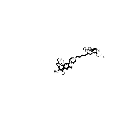 CC(=O)c1c2n(c3cc(N4CCN(CCCCC(O)Cn5c([N+](=O)[O-])cnc5C)CC4)c(F)cc3c1=O)C(C)S2